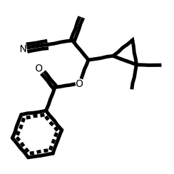 C=C(C#N)C(OC(=O)c1ccccc1)C1CC1(C)C